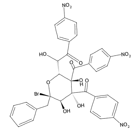 O=C(c1ccc([N+](=O)[O-])cc1)C(O)[C@H]1O[C@@](Br)(Cc2ccccc2)[C@H](O)[C@](O)(C(=O)c2ccc([N+](=O)[O-])cc2)[C@@]1(O)C(=O)c1ccc([N+](=O)[O-])cc1